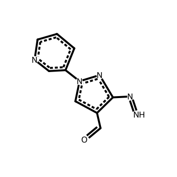 N=Nc1nn(-c2cccnc2)cc1C=O